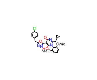 COc1cccc(OC)c1-n1c(CC2CC2)nc(=O)c(-c2nnc(CC3=CCC(Cl)C=C3)o2)c1O